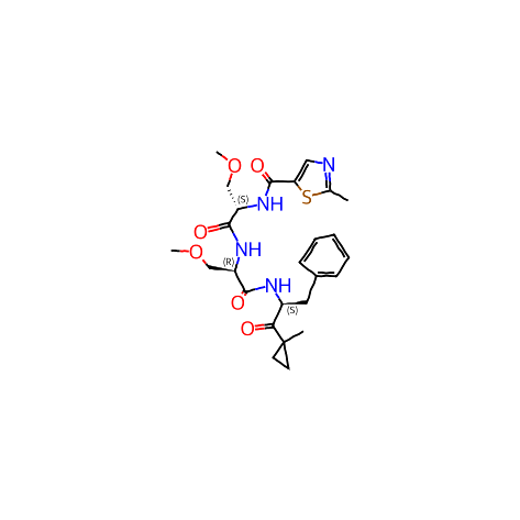 COC[C@H](NC(=O)c1cnc(C)s1)C(=O)N[C@H](COC)C(=O)N[C@@H](Cc1ccccc1)C(=O)C1(C)CC1